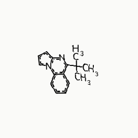 CC(C)(C)c1nc2cccn2c2ccccc12